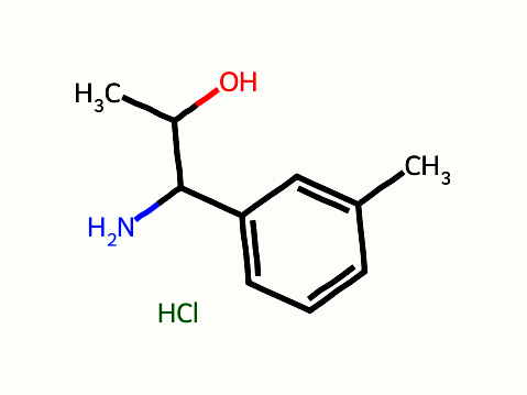 Cc1cccc(C(N)C(C)O)c1.Cl